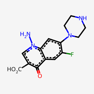 Nn1cc(C(=O)O)c(=O)c2cc(F)c(N3CCNCC3)cc21